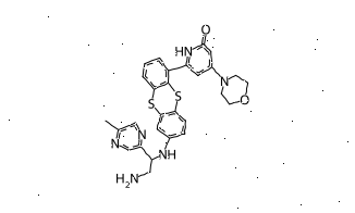 Cc1cnc(C(CN)Nc2ccc3c(c2)Sc2cccc(-c4cc(N5CCOCC5)cc(=O)[nH]4)c2S3)cn1